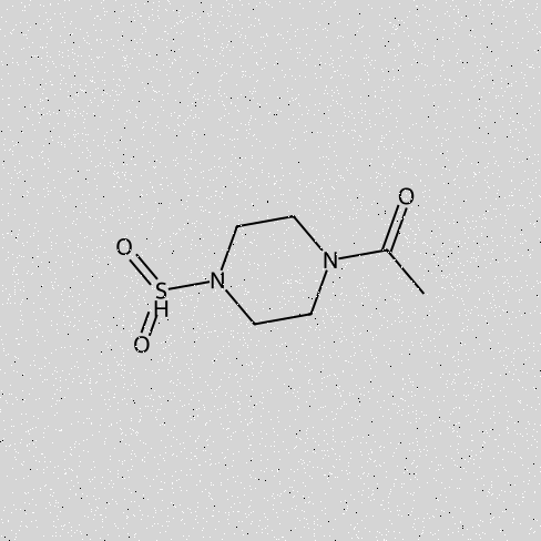 CC(=O)N1CCN([SH](=O)=O)CC1